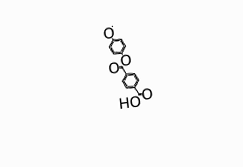 COc1ccc(OC(=O)c2ccc(C(=O)O)cc2)cc1